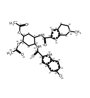 CC(=O)OC1CC(NC(=O)c2nc3c(s2)CN(C)CC3)C(NC(=O)c2cc3cc(Cl)ccc3[nH]2)C[C@H]1OC(C)=O